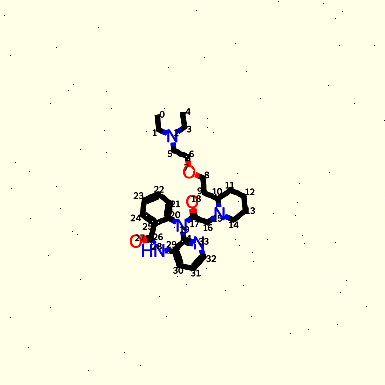 CCN(CC)CCOCCC1CCCCN1CC(=O)N1c2ccccc2C(=O)Nc2cccnc21